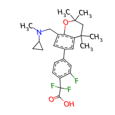 CN(Cc1cc(-c2ccc(C(F)(F)C(=O)O)c(F)c2)cc2c1OC(C)(C)CC2(C)C)C1CC1